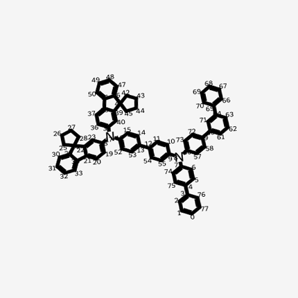 c1ccc(-c2ccc(N(c3ccc(-c4ccc(N(c5ccc6c(c5)C5(CCCC5)c5ccccc5-6)c5ccc6c(c5)C5(CCCC5)c5ccccc5-6)cc4)cc3)c3ccc(-c4cccc(-c5ccccc5)c4)cc3)cc2)cc1